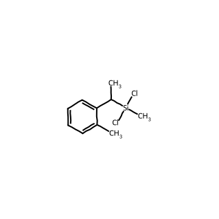 Cc1ccccc1C(C)[Si](C)(Cl)Cl